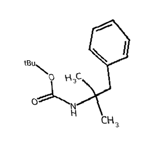 CC(C)(Cc1ccccc1)NC(=O)OC(C)(C)C